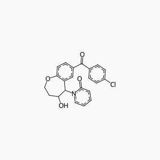 O=C(c1ccc(Cl)cc1)c1ccc2c(c1)C(n1ccccc1=O)C(O)CCO2